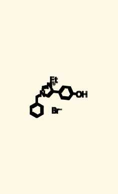 CC[n+]1cn(Cc2ccccc2)cc1-c1ccc(O)cc1.[Br-]